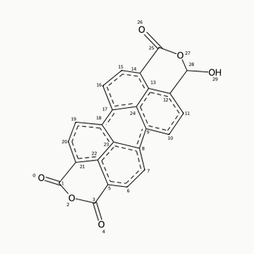 O=C1OC(=O)c2ccc3c4ccc5c6c(ccc(c7ccc1c2c73)c64)C(=O)OC5O